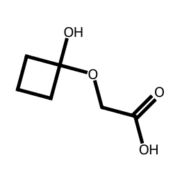 O=C(O)COC1(O)CCC1